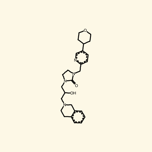 O=C1N(Cc2ccc(C3CCOCC3)cn2)CCN1CC(O)CN1CCc2ccccc2C1